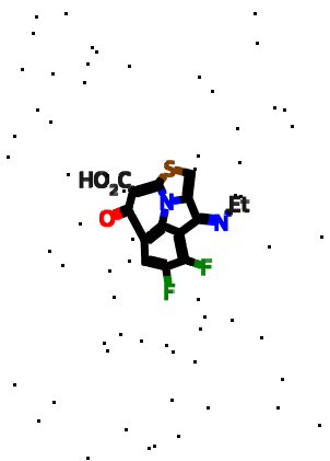 CCN=c1c2c(F)c(F)cc3c(=O)c(C(=O)O)c4scc1n4c32